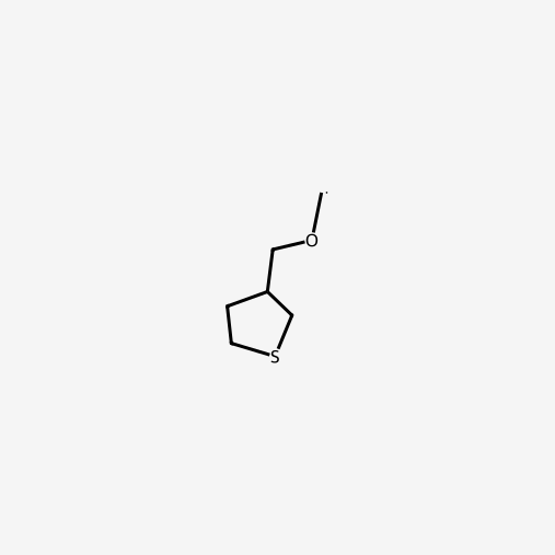 [CH2]OCC1CCSC1